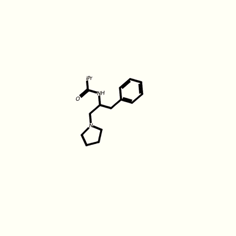 CC(C)C(=O)NC(Cc1ccccc1)CN1CCCC1